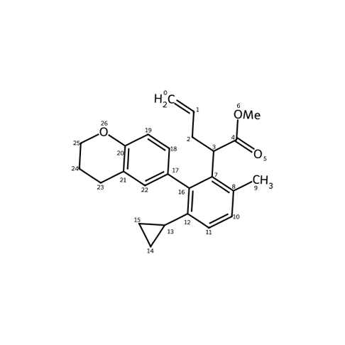 C=CCC(C(=O)OC)c1c(C)ccc(C2CC2)c1-c1ccc2c(c1)CCCO2